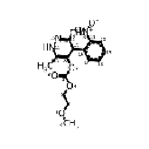 COCCOC(=O)OC1=C(C)NN=C(C)C1c1ccccc1[N+](=O)[O-]